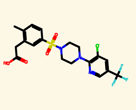 Cc1ccc(S(=O)(=O)N2CCN(c3ncc(C(F)(F)F)cc3Cl)CC2)cc1CC(=O)O